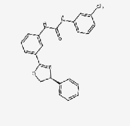 O=C(Nc1cccc(C2=N[C@@H](c3ccccc3)CO2)c1)Nc1cccc(C(F)(F)F)c1